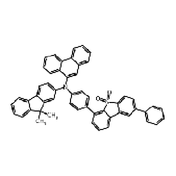 CC1(C)c2ccccc2-c2ccc(N(c3ccc(-c4cccc5c4S(=O)(=O)c4ccc(-c6ccccc6)cc4-5)cc3)c3cc4ccccc4c4ccccc34)cc21